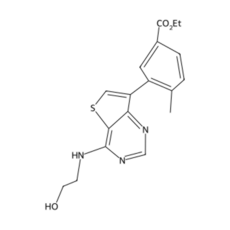 CCOC(=O)c1ccc(C)c(-c2csc3c(NCCO)ncnc23)c1